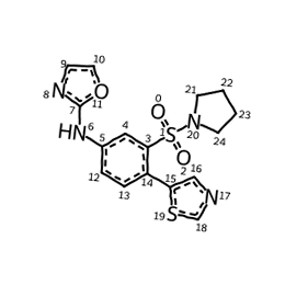 O=S(=O)(c1cc(Nc2ncco2)ccc1-c1cncs1)N1CCCC1